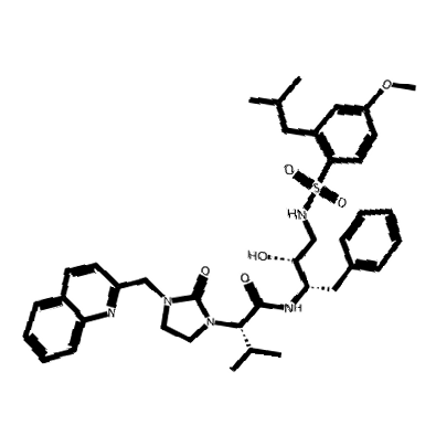 COc1ccc(S(=O)(=O)NC[C@@H](O)[C@H](Cc2ccccc2)NC(=O)[C@H](C(C)C)N2CCN(Cc3ccc4ccccc4n3)C2=O)c(CC(C)C)c1